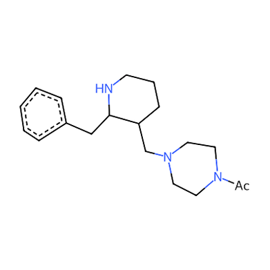 CC(=O)N1CCN(CC2CCCNC2Cc2ccccc2)CC1